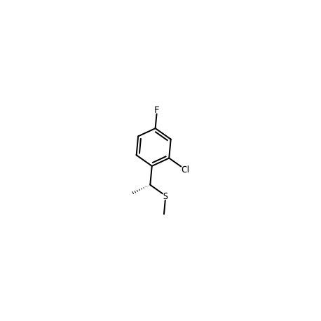 CS[C@H](C)c1ccc(F)cc1Cl